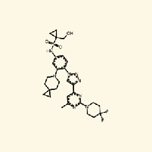 Cc1cc(-c2cn(-c3ccc(NS(=O)(=O)C4(CO)CC4)cc3N3CCC4(CC3)CC4)nn2)nc(N2CCC(F)(F)CC2)n1